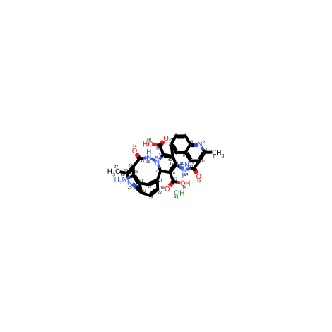 Cc1nc2ccc3cc2c(N)c1C(=O)NC1=C(C(=O)O)C2c4ccc5nc(C)c(c(N)c5c4)C(=O)NN2C(C(=O)O)=C13.Cl